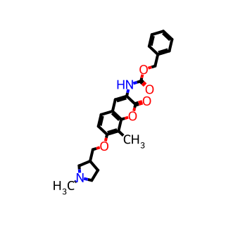 Cc1c(OCC2CCN(C)C2)ccc2cc(NC(=O)OCc3ccccc3)c(=O)oc12